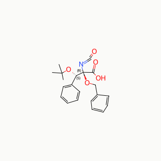 CC(C)(C)O[C@@H](c1ccccc1)[C@@](N=C=O)(OCc1ccccc1)C(=O)O